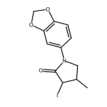 CC1CN(c2ccc3c(c2)OCO3)C(=O)C1I